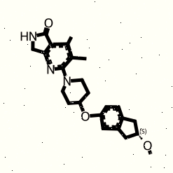 CO[C@H]1Cc2ccc(OC3CCN(c4nc5c(c(C)c4C)C(=O)NC5)CC3)cc2C1